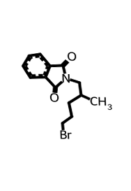 CC(CCCBr)CN1C(=O)c2ccccc2C1=O